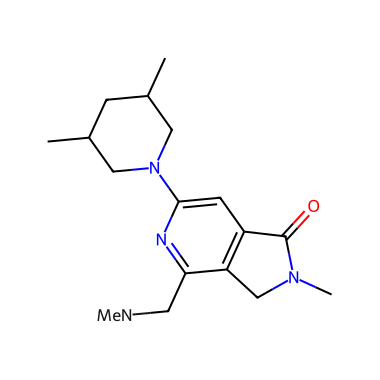 CNCc1nc(N2CC(C)CC(C)C2)cc2c1CN(C)C2=O